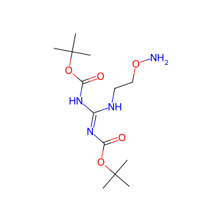 CC(C)(C)OC(=O)/N=C(\NCCON)NC(=O)OC(C)(C)C